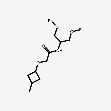 CCOCC(COCC)NC(=O)COC1CC(C)C1